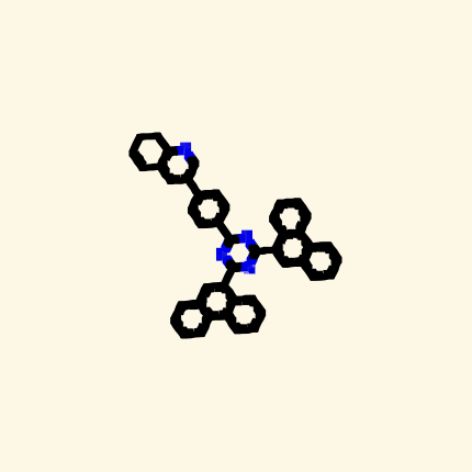 C1=Cc2cc(-c3ccc(-c4nc(-c5cc6ccccc6c6ccccc56)nc(-c5cc6ccccc6c6ccccc56)n4)cc3)cnc2CC1